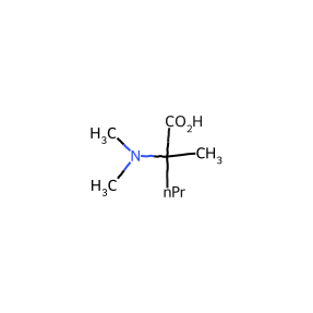 CCCC(C)(C(=O)O)N(C)C